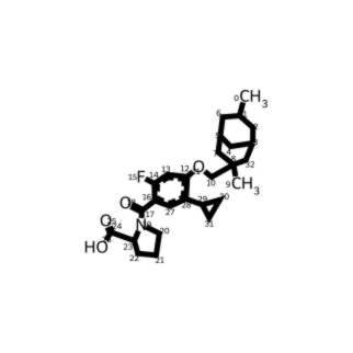 CC1CC2CC(C1)CC(C)(COc1cc(F)c(C(=O)N3CCCC3C(=O)O)cc1C1CC1)C2